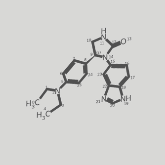 CCN(CC)c1ccc([C@H]2CNC(=O)N2c2ccc3[nH]cnc3c2)cc1